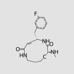 CN[C@H]1CCCCNC(=O)/C=C/[C@H](Cc2cccc(F)c2)NC1=O